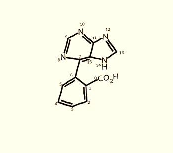 O=C(O)c1ccccc1-c1ncnc2nc[nH]c12